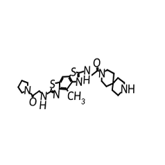 Cc1c2nc(NCC(=O)N3CCCC3)sc2cc2sc(NCC(=O)N3CCC4(CCNCC4)CC3)nc12